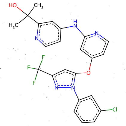 CC(C)(O)c1cc(Nc2cc(Oc3cc(C(F)(F)F)nn3-c3cccc(Cl)c3)ccn2)ccn1